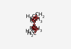 C=Cc1ccc(C2(c3cc(C)ccc3C)c3ccccc3-c3ccc(N(c4ccc(-c5ccc(N(c6ccc7c(c6)C(c6ccc(C=C)cc6)(c6cc(C)ccc6C)c6ccccc6-7)c6ccc(F)c(F)c6F)cc5)cc4)c4ccc(F)c(F)c4F)cc32)cc1